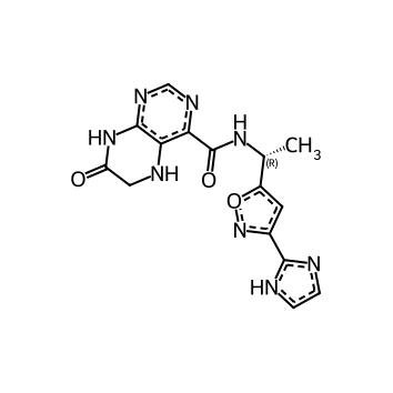 C[C@@H](NC(=O)c1ncnc2c1NCC(=O)N2)c1cc(-c2ncc[nH]2)no1